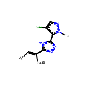 C/C=C(\C(=O)OCC)c1nnc(-c2c(F)cnn2C)[nH]1